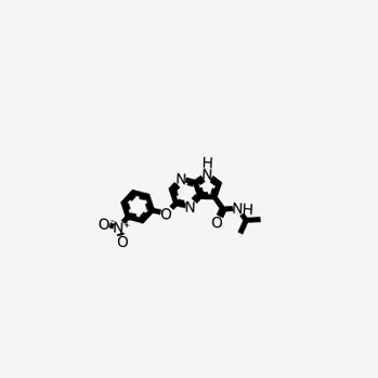 CC(C)NC(=O)c1c[nH]c2ncc(Oc3cccc([N+](=O)[O-])c3)nc12